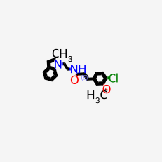 COc1cc(/C=C/C(=O)NCCn2c(C)cc3ccccc32)ccc1Cl